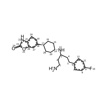 NCCC(CCc1ccc(F)cc1)N[C@H]1CC[C@H](c2ccc3[nH]c(=O)oc3c2)CC1